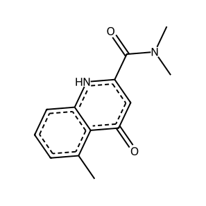 Cc1cccc2[nH]c(C(=O)N(C)C)cc(=O)c12